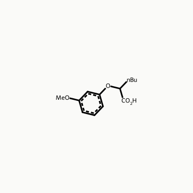 CCCCC(Oc1cccc(OC)c1)C(=O)O